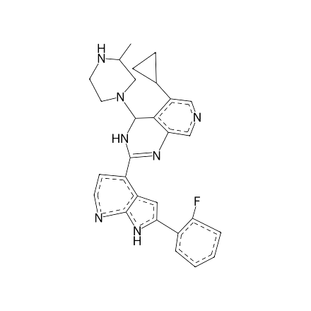 CC1CN(C2NC(c3ccnc4[nH]c(-c5ccccc5F)cc34)=Nc3cncc(C4CC4)c32)CCN1